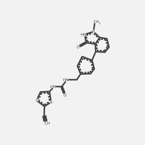 C#Cc1nc(NC(=O)NCc2ccc(-c3cccc4c3c(=O)[nH]n4C)cc2)cs1